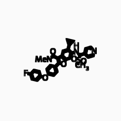 CNC(=O)c1c(-c2ccc(Oc3ccc(F)cc3)cc2)oc2cc(NC(c3ccncc3)S(C)(=O)=O)c(C3CC3)cc12